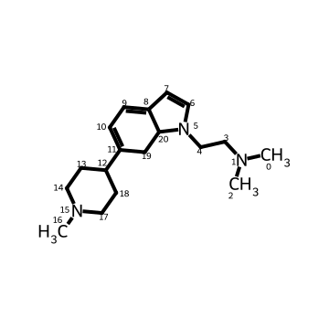 CN(C)CCN1C=CC2=CC=C(C3CCN(C)CC3)CC21